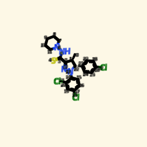 C[C@@H]1C(C(=S)NN2CCCCC2)=NN(c2ccc(Cl)cc2Cl)[C@H]1c1ccc(Cl)cc1